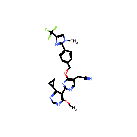 COc1ncnc(C2CC2)c1-c1ncc(CC#N)c(OCc2ccc(-c3nc(C(F)(F)F)cn3C)cc2)n1